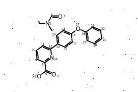 CN(C)C=O.O=C(O)c1cccc(-c2ccc(Oc3ccccc3)cc2)n1